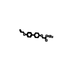 C=CCOc1ccc(C2CCC(OCC(=O)OC(C)(C)C)CC2)cc1